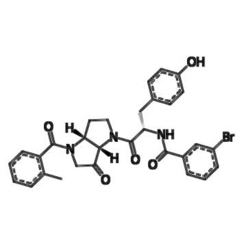 Cc1ccccc1C(=O)N1CC(=O)[C@@H]2[C@H]1CCN2C(=O)[C@H](Cc1ccc(O)cc1)NC(=O)c1cccc(Br)c1